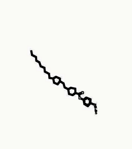 CCCCCCCCCCC1CCC(CCC2CCC(C(=O)Oc3ccc(N=C=S)cc3)CC2)CC1